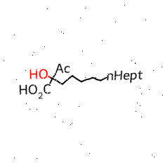 CCCCCCCCCCCCC(O)(C(C)=O)C(=O)O